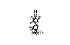 C[C@]12CC[C@H](c3cc(F)c(O)c(F)c3F)C[C@H]1CC[C@@H]2O